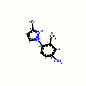 Nc1ccc(-n2ccc(Br)n2)c(C(F)(F)F)c1